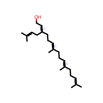 CC(C)=CCC/C(C)=C/CC/C(C)=C/CC/C(=C/CO)CC=C(C)C